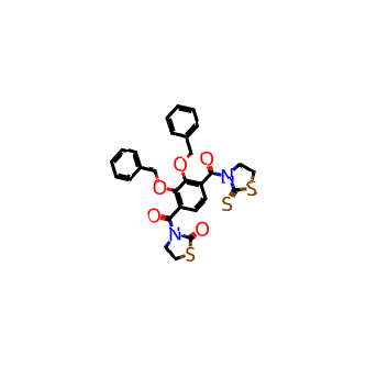 O=C1SCCN1C(=O)c1ccc(C(=O)N2CCSC2=S)c(OCc2ccccc2)c1OCc1ccccc1